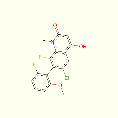 COc1cccc(F)c1-c1c(Cl)cc2c(O)cc(=O)n(C)c2c1F